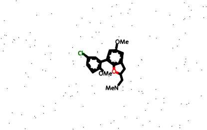 CNCC1Cc2cc(OC)cc(-c3cc(Cl)ccc3OC)c2O1